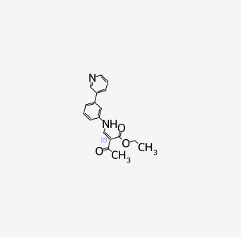 CCOC(=O)/C(=C\Nc1cccc(-c2cccnc2)c1)C(C)=O